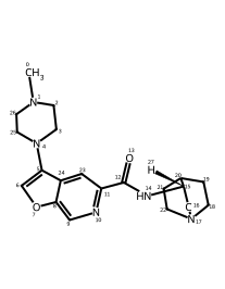 CN1CCN(c2coc3cnc(C(=O)N[C@H]4CN5CCC4CC5)cc23)CC1